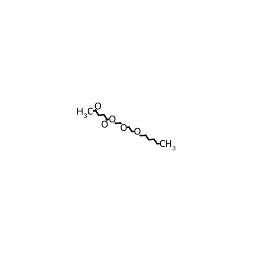 CCCCCCOCCOCCOC(=O)CCC(C)=O